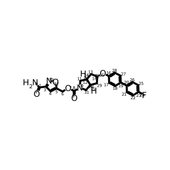 NC(=O)c1cc(COC(=O)N2C[C@H]3C[C@@H](Oc4ccc(-c5ccc(F)cc5)cc4)C[C@H]3C2)on1